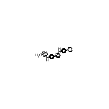 CN(C)CC(=O)Nc1ccc(-c2ccnc(Nc3ccc(N4CCOCC4)cc3)n2)cc1